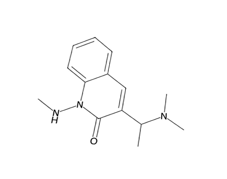 CNn1c(=O)c(C(C)N(C)C)cc2ccccc21